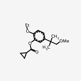 CCOc1ccc(C(C)(C)COC)cc1OC(=O)C1CC1